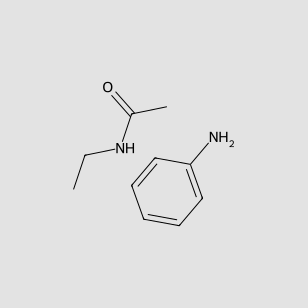 CCNC(C)=O.Nc1ccccc1